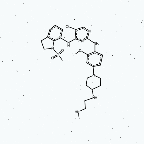 CNCCNC1CCN(c2ccc(Nc3ncc(Cl)c(Nc4cccc5c4N(S(C)(=O)=O)CC5)n3)c(OC)c2)CC1